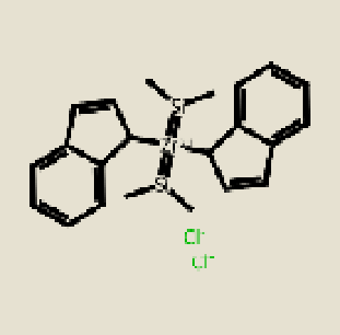 C[Si](C)=[Zr+2]([CH]1C=Cc2ccccc21)([CH]1C=Cc2ccccc21)=[Si](C)C.[Cl-].[Cl-]